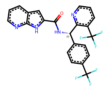 O=C(N[C@@H](c1ccc(C(F)(F)F)cc1)c1ncccc1C(F)(F)F)c1cc2cccnc2[nH]1